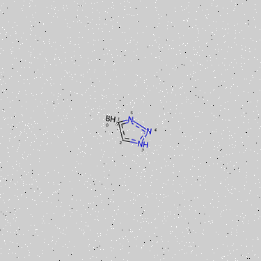 B.c1c[nH]nn1